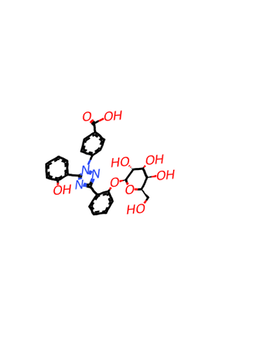 O=C(O)c1ccc(-n2nc(-c3ccccc3O[C@@H]3O[C@H](CO)[C@H](O)[C@H](O)[C@H]3O)nc2-c2ccccc2O)cc1